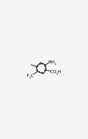 Cc1cc(N)c(C(=O)O)cc1C(F)(F)F